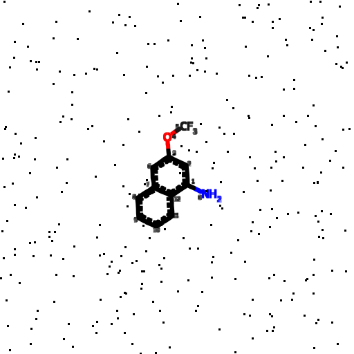 Nc1cc(OC(F)(F)F)cc2ccccc12